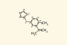 C=C(C)c1cc(Cc2cccs2)ccc1C